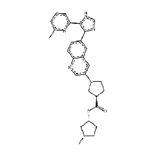 Cc1cccc(-c2[nH]cnc2-c2ccc3ncc(N4CC[C@@H](C(=O)O[C@@H]5CCN(C)C5)C4)cc3c2)n1